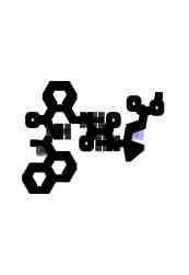 COC(=O)/C=C/C1(NC(=O)C(=O)NCc2ccccc2C(=O)N[C@H](C)c2cccc3ccccc23)CC1